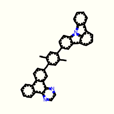 Cc1cc(-c2ccc3c(c2)c2cccc4c5ccccc5n3c42)c(C)cc1-c1ccc2c3ccccc3c3nccnc3c2c1